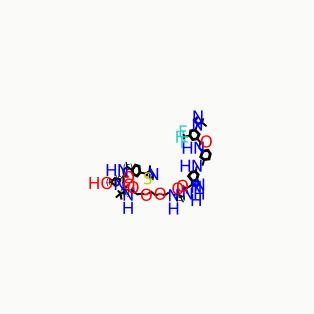 Cc1ncsc1-c1ccc([C@H](C)NC(=O)[C@@H]2C[C@@H](O)CN2C(=O)[C@H](NC(=O)CCOCCOCCNC(=O)[C@H](C)NC(=O)c2[nH]nc3cc(NCc4cccc(NC(=O)c5cc(-n6cncc6C)cc(C(F)(F)F)c5)c4)ccc23)C(C)(C)C)cc1